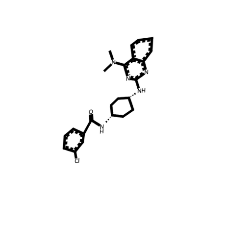 CN(C)c1nc(N[C@H]2CC[C@@H](NC(=O)c3cccc(Cl)c3)CC2)nc2ccccc12